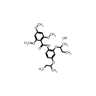 CCC(C)Oc1ccc(PC(=O)c2c(OC)cc(OC)cc2OC)c(OC(C)CC)c1.[LiH]